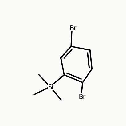 C[Si](C)(C)c1cc(Br)ccc1Br